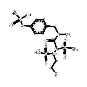 CN(Cc1ccc(OP(=O)(O)O)cc1)C(=O)N(N(CCCl)S(C)(=O)=O)S(C)(=O)=O